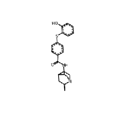 CC1CC2CCN1CC2NC(=O)c1ccc(Sc2ccccc2O)cc1